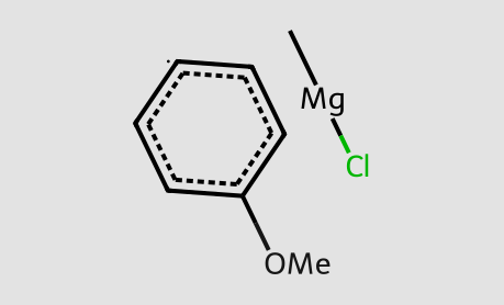 COc1cc[c]cc1.[CH3][Mg][Cl]